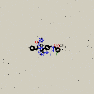 COc1ccc(F)cc1C(=O)NCc1ccc(-c2nn(C(CC3CCCCC3)CN(C)C(=O)n3cncn3)c3ncnc(N)c23)cc1